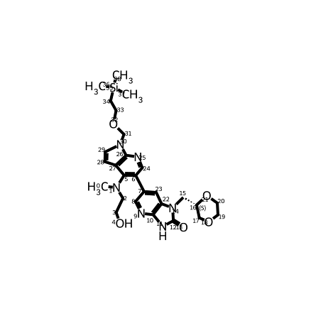 CN(CCO)c1c(-c2cnc3[nH]c(=O)n(C[C@H]4COCCO4)c3c2)cnc2c1ccn2COCC[Si](C)(C)C